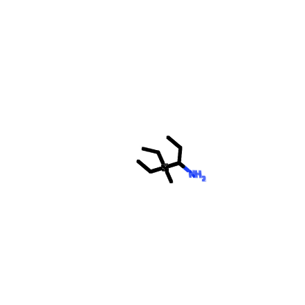 CCC(N)[Si](C)(CC)CC